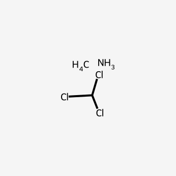 C.ClC(Cl)Cl.N